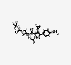 CC(C)n1nc(-c2ccc(N)cc2)c(C2CC2)c1C(=O)NC1CN(C(=O)OC(C)(C)C)C1